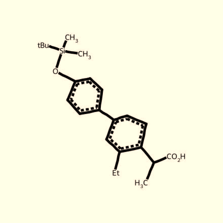 CCc1cc(-c2ccc(O[Si](C)(C)C(C)(C)C)cc2)ccc1C(C)C(=O)O